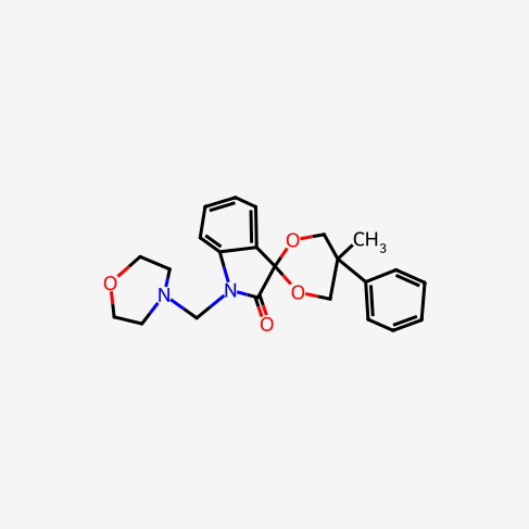 CC1(c2ccccc2)COC2(OC1)C(=O)N(CN1CCOCC1)c1ccccc12